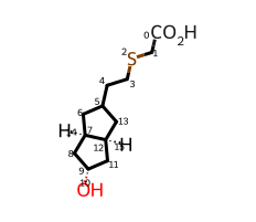 O=C(O)CSCCC1C[C@@H]2C[C@@H](O)C[C@@H]2C1